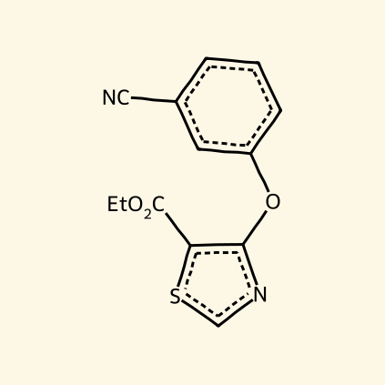 CCOC(=O)c1scnc1Oc1cccc(C#N)c1